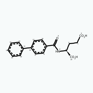 O=C(O)CC[C@H](NC(=O)c1ccc(-c2ccccc2)cc1)C(=O)O